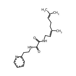 CC(C)=CCCC(C)=CCNC(=O)C(=O)NCCc1ccccn1